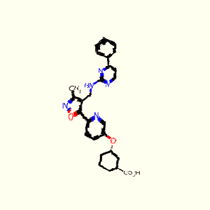 Cc1noc(-c2ccc(O[C@H]3CCC[C@H](C(=O)O)C3)cn2)c1CNc1nccc(-c2ccccc2)n1